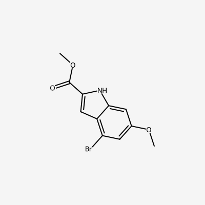 COC(=O)c1cc2c(Br)cc(OC)cc2[nH]1